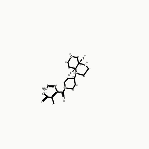 C=C(Cl)/C(C)=C(\N=C/N)C(=O)N1CCC(N2CCO[C@H]3COCC[C@H]32)CC1